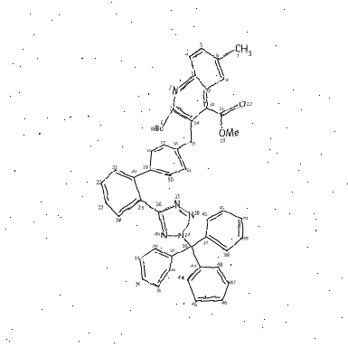 CCCCc1nc2ccc(C)cc2c(C(=O)OC)c1Cc1ccc(-c2ccccc2-c2nnn(C(c3ccccc3)(c3ccccc3)c3ccccc3)n2)cc1